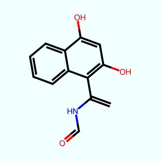 C=C(NC=O)c1c(O)cc(O)c2ccccc12